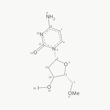 COC[C@H]1O[C@@H](n2ccc(N)nc2=O)CC1OI